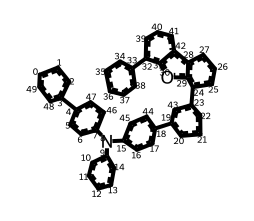 c1ccc(-c2ccc(N(c3ccccc3)c3ccc(-c4cccc(-c5cccc6c5oc5c(-c7ccccc7)cccc56)c4)cc3)cc2)cc1